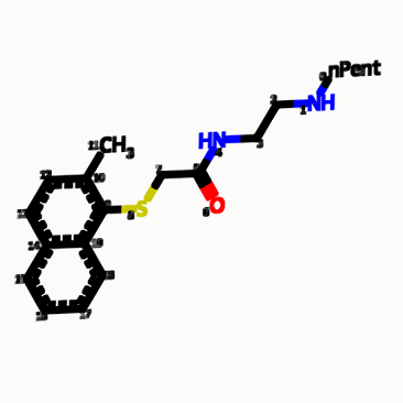 CCCCCNCCNC(=O)CSc1c(C)ccc2ccccc12